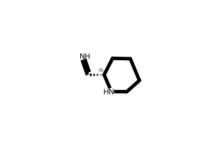 N=C[C@@H]1CCCCN1